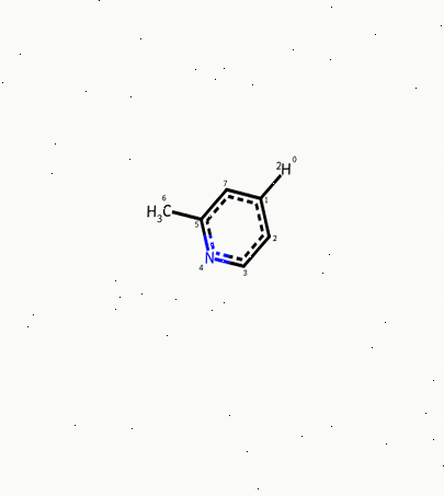 [2H]c1ccnc(C)c1